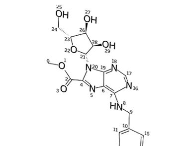 COC(=O)c1nc2c(NCc3ccccc3)ncnc2n1[C@@H]1O[C@H](CO)[C@@H](O)[C@H]1O